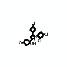 O=C1CCC(O)(c2cc(-c3ccc(Cl)cc3)n(-c3ccc(Cl)cc3Cl)n2)CC1